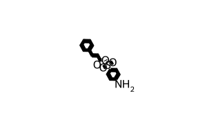 Nc1ccc(S(=O)(=O)OC(=O)/C=C/c2ccccc2)cc1